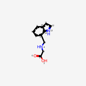 O=C(O)CNCc1cccc2cc[nH]c12